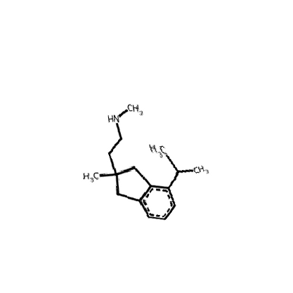 CNCCC1(C)Cc2cccc(C(C)C)c2C1